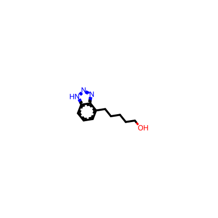 OCCCCCc1cccc2[nH]nnc12